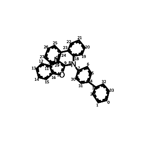 c1ccc(-c2ccc(N(c3nc4ccccc4o3)c3ccccc3-c3ccccc3)cc2)cc1